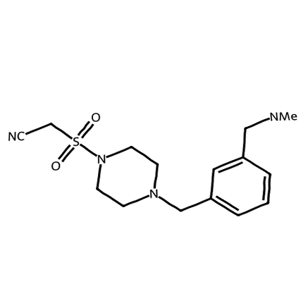 CNCc1cccc(CN2CCN(S(=O)(=O)CC#N)CC2)c1